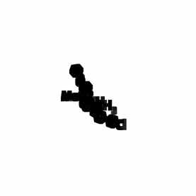 COC(=O)[C@H](Cc1ccc(OCc2ccccc2)cc1)NC(=O)c1cc2ccc(-c3ccc(Cl)cc3)cc2n1C